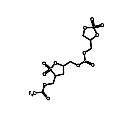 O=C(OCC1CC(COS(=O)OCC2COS(=O)(=O)O2)OS1(=O)=O)C(F)(F)F